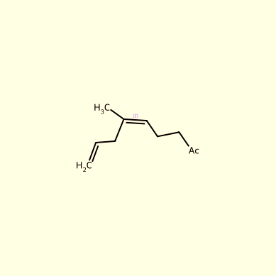 C=CC/C(C)=C\CCC(C)=O